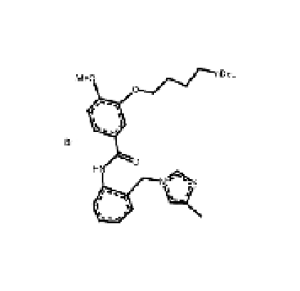 CCCCCCCCCCCCCCOc1cc(C(=O)Nc2ccccc2C[n+]2csc(C)c2)ccc1OC.[Br-]